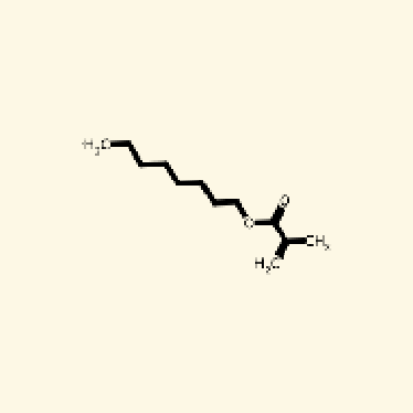 [CH2]CCCCCCCOC(=O)C(=C)C